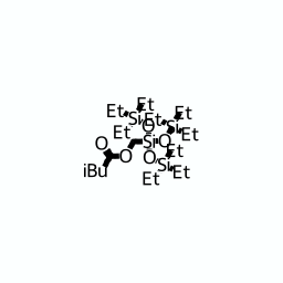 CCC(C)C(=O)OC[Si](O[Si](CC)(CC)CC)(O[Si](CC)(CC)CC)O[Si](CC)(CC)CC